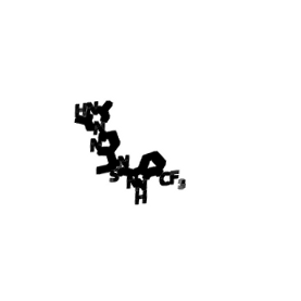 Cc1sc(-c2n[nH]c3c(C(F)(F)F)cccc23)nc1-c1ccc(N2CC(C)NC(C)C2)nc1